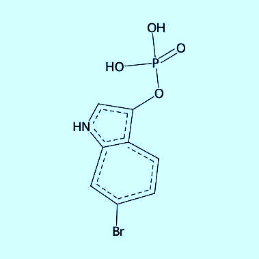 O=P(O)(O)Oc1c[nH]c2cc(Br)ccc12